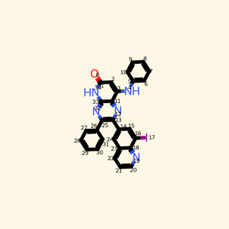 O=c1cc(Nc2ccccc2)c2nc(-c3cc(I)c4ncccc4c3)c(-c3ccccc3)nc2[nH]1